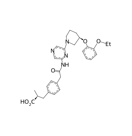 CCOc1ccccc1O[C@@H]1CCCN(c2cncc(NC(=O)Cc3ccc(C[C@H](C)C(=O)O)cc3)n2)C1